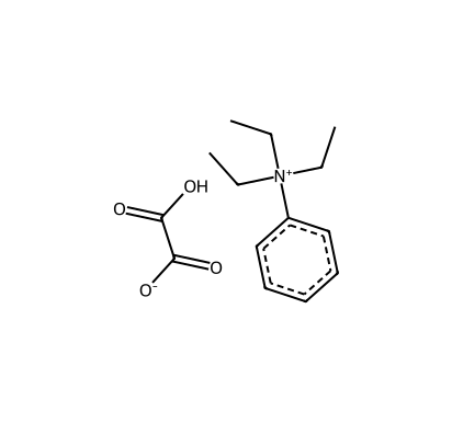 CC[N+](CC)(CC)c1ccccc1.O=C([O-])C(=O)O